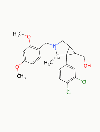 COc1ccc(CN2CC3C(CO)C3(c3ccc(Cl)c(Cl)c3)[C@@H]2C)c(OC)c1